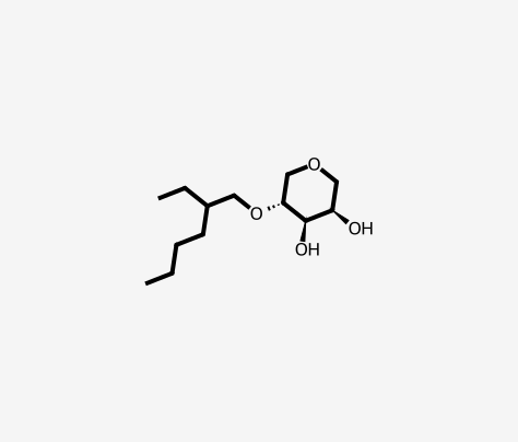 CCCCC(CC)CO[C@@H]1COC[C@@H](O)[C@H]1O